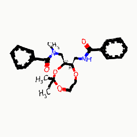 CN(C[C@@H]1OC(C)(C)OCCO[C@@H]1CNC(=O)c1ccccc1)C(=O)c1ccccc1